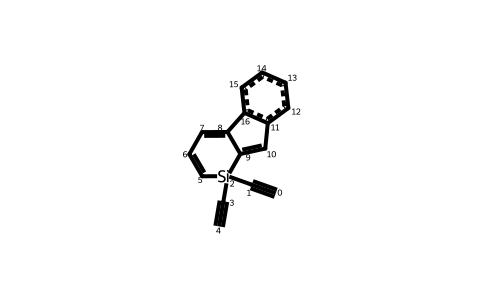 C#C[Si]1(C#C)C=CC=C2C1=Cc1ccccc12